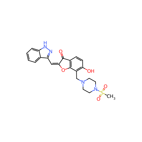 CS(=O)(=O)N1CCN(Cc2c(O)ccc3c2OC(=Cc2n[nH]c4ccccc24)C3=O)CC1